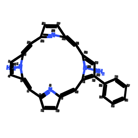 Nn1c2ccc1cc1nc(cc3c(-c4ccccc4)cc(cc4nc(c2)C=C4)n3N)C=C1